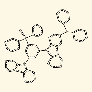 O=P(c1ccccc1)(c1ccccc1)c1cc(-n2c3ccccc3c3ccccc32)cc(-n2c3ccccc3c3cc(P(c4ccccc4)c4ccccc4)ccc32)c1